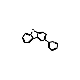 [c]1ccc2oc3ccc(-c4ccccn4)cc3c2c1